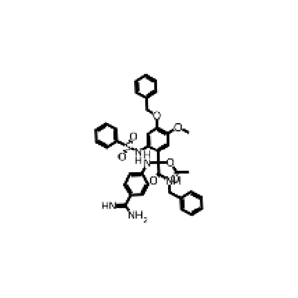 COc1cc(C(Nc2ccc(C(=N)N)cc2)(OC(C)=O)C(=O)NCc2ccccc2)c(NS(=O)(=O)c2ccccc2)cc1OCc1ccccc1